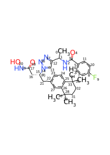 CC(NC(=O)c1ccc(F)cc1)c1cn([C@@H](CC(=O)NO)Cc2ccc3c(c2)C(C)(C)CCC3(C)C)nn1